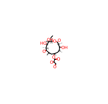 CC[C@H]1OC(=O)[C@H](C)[C@@H](O)[C@H](C)C[C@@](C)(OC(=O)C(=O)C=O)C[C@@H](C)C(=O)[C@H](C)[C@@H](O)[C@]1(C)O